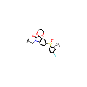 O=C1N(CC2CC2)c2ccc([S+]([O-])c3ccc(F)cc3C(F)(F)F)cc2C12OCCCO2